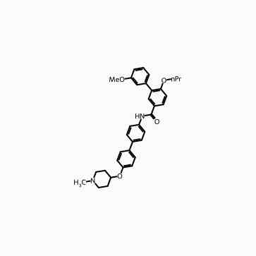 CCCOc1ccc(C(=O)Nc2ccc(-c3ccc(OC4CCN(C)CC4)cc3)cc2)cc1-c1cccc(OC)c1